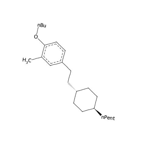 CCCCC[C@H]1CC[C@H](CCc2ccc(OCCCC)c(C)c2)CC1